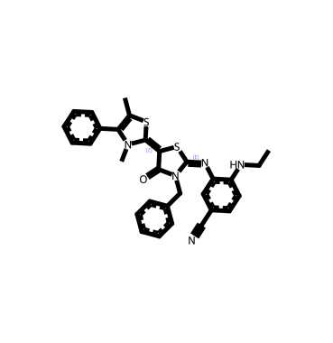 CCNc1ccc(C#N)cc1/N=C1/S/C(=C2\SC(C)=C(c3ccccc3)N2C)C(=O)N1Cc1ccccc1